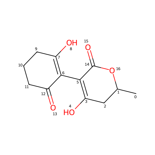 CC1CC(O)=C(C2=C(O)CCCC2=O)C(=O)O1